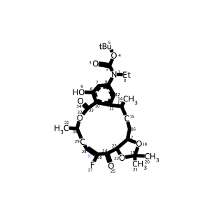 CCN(C(=O)OC(C)(C)C)c1cc(O)c2c(c1)C(C)CCC1OC(C)(C)OC1C(=O)/C(F)=C\CC(C)OC2=O